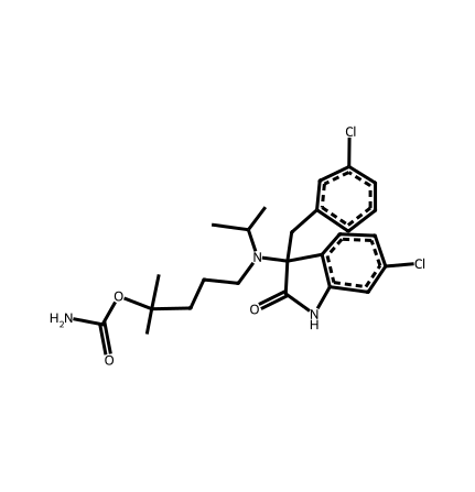 CC(C)N(CCCC(C)(C)OC(N)=O)C1(Cc2cccc(Cl)c2)C(=O)Nc2cc(Cl)ccc21